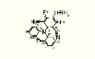 N#Cc1c(F)c(ON)c(F)c(C#N)c1N1c2ccccc2Oc2ccccc21